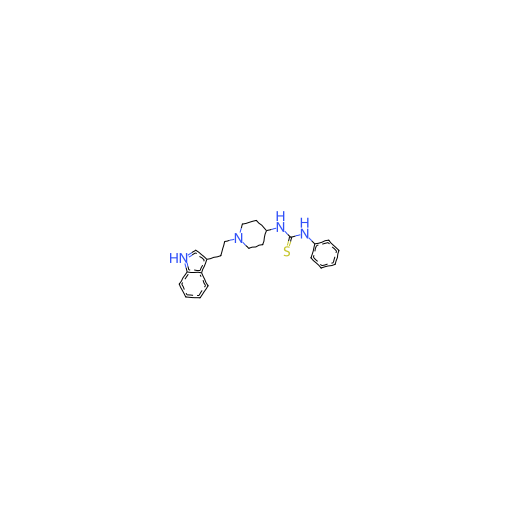 S=C(Nc1ccccc1)NC1CCN(CCc2c[nH]c3ccccc23)CC1